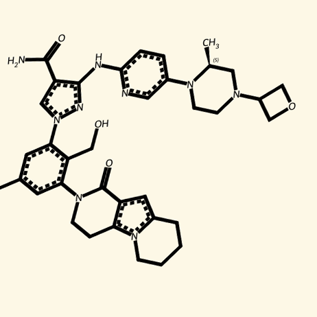 C[C@H]1CN(C2COC2)CCN1c1ccc(Nc2nn(-c3cc(F)cc(N4CCc5c(cc6n5CCCC6)C4=O)c3CO)cc2C(N)=O)nc1